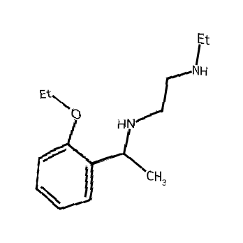 CCNCCNC(C)c1ccccc1OCC